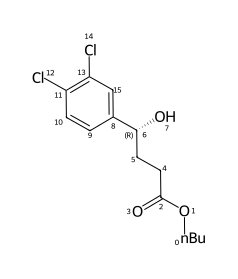 CCCCOC(=O)CC[C@@H](O)c1ccc(Cl)c(Cl)c1